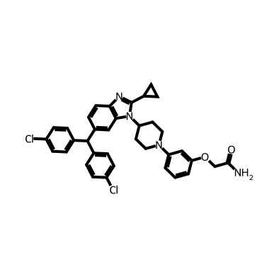 NC(=O)COc1cccc(N2CCC(n3c(C4CC4)nc4ccc(C(c5ccc(Cl)cc5)c5ccc(Cl)cc5)cc43)CC2)c1